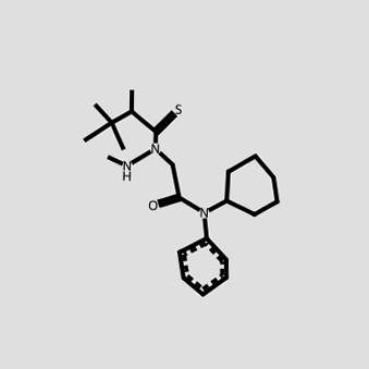 CNN(CC(=O)N(c1ccccc1)C1CCCCC1)C(=S)C(C)C(C)(C)C